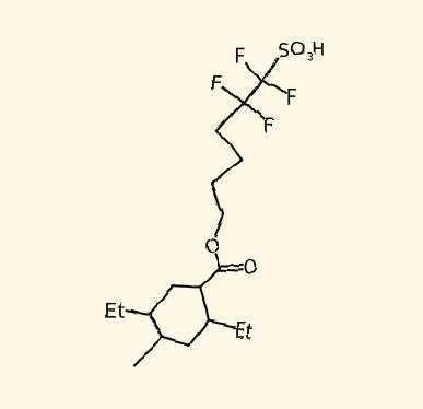 CCC1CC(C(=O)OCCCCC(F)(F)C(F)(F)S(=O)(=O)O)C(CC)CC1C